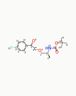 C[C@@H](COCC(=O)c1ccc(F)cc1)NC(=O)OC(C)(C)C